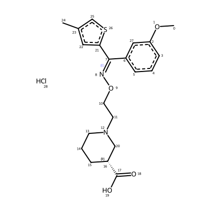 COc1cccc(/C(=N\OCCN2CCC[C@@H](C(=O)O)C2)c2cc(C)cs2)c1.Cl